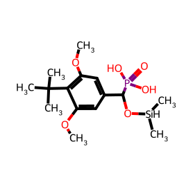 COc1cc(C(O[SiH](C)C)P(=O)(O)O)cc(OC)c1C(C)(C)C